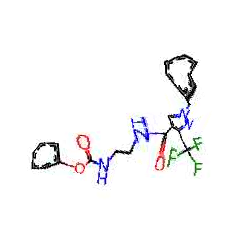 O=C(NCCNC(=O)c1cn(-c2ccccc2)nc1C(F)(F)F)Oc1ccccc1